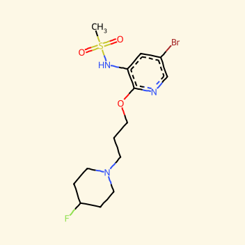 CS(=O)(=O)Nc1cc(Br)cnc1OCCCN1CCC(F)CC1